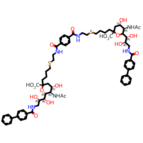 CC(=O)N[C@H]1[C@H]([C@H](O)[C@H](O)CNC(=O)c2ccc(-c3ccccc3)cc2)O[C@@](CCCCSCCNC(=O)c2ccc(C(=O)NCCSCCCC[C@]3(C(=O)O)C[C@H](O)[C@@H](NC(C)=O)C([C@H](O)[C@H](O)CNC(=O)c4ccc(-c5ccccc5)cc4)O3)cc2)(C(=O)O)C[C@@H]1O